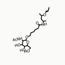 CC=COC(C)CC(C)NC(=O)CCCCCOC1OC(CO)C(O)C(O)C1NC(C)=O